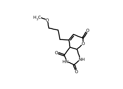 COCCCC1=CC(=O)OC2NC(=O)NC(=O)C12